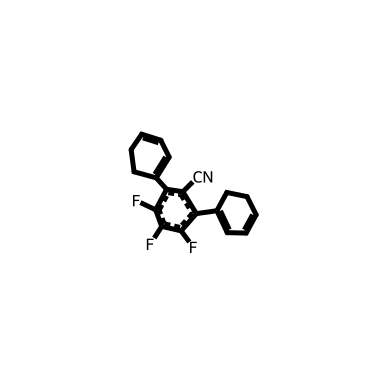 N#Cc1c(C2=CC=CCC2)c(F)c(F)c(F)c1C1=CC=CCC1